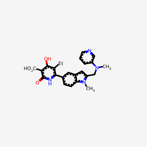 CCc1c(-c2ccc3c(c2)cc(CN(C)c2cccnc2)n3C)[nH]c(=O)c(C(=O)O)c1O